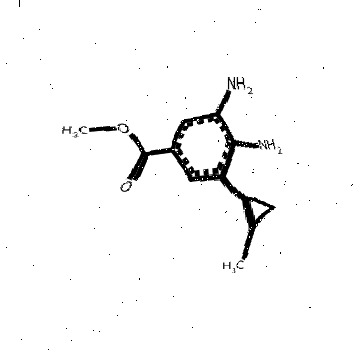 COC(=O)c1cc(N)c(N)c(C2CC2C)c1